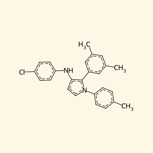 Cc1ccc(-n2ccc(Nc3ccc(Cl)cc3)c2-c2cc(C)cc(C)c2)cc1